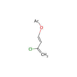 C=C(Cl)C=COC(C)=O